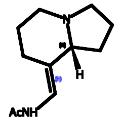 CC(=O)N/C=C1\CCCN2CCC[C@H]12